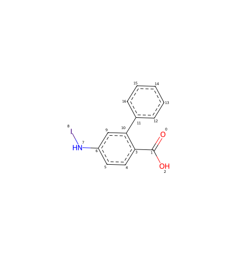 O=C(O)c1ccc(NI)cc1-c1ccccc1